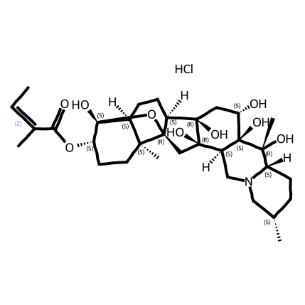 C/C=C(/C)C(=O)O[C@H]1CC[C@@]2(C)[C@@H]3CC[C@H]4[C@]5(O)C[C@H](O)[C@@]6(O)[C@@H](CN7C[C@@H](C)CC[C@H]7[C@@]6(C)O)[C@]5(O)C[C@@]42O[C@]13O.Cl